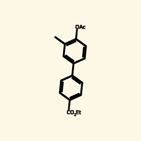 CCOC(=O)c1ccc(-c2ccc(OC(C)=O)c(C)c2)cc1